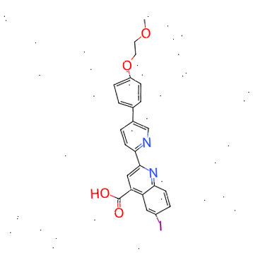 COCCOc1ccc(-c2ccc(-c3cc(C(=O)O)c4cc(I)ccc4n3)nc2)cc1